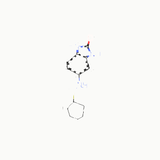 O=c1[nH]c2ccc(NSC3CCCCC3)cc2[nH]1